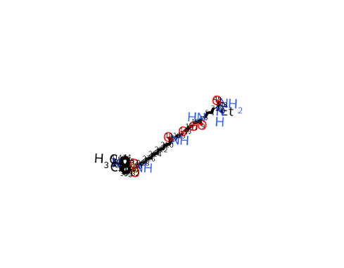 CCN[C@@H](CCCCNC(=O)COCCOCCNC(=O)CCCCCCCCCCNS(=O)(=O)c1cccc2c(N(C)C)cccc12)C(N)=O